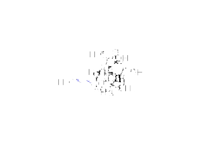 C/C=C/C=C/C(=O)O[C@@H]1[C@@H](C)[C@@]2(O)[C@@H](C=C(CO)C[C@]3(O)C(=O)C(C)=C[C@@H]23)[C@@H]2C(C)(C)[C@]12OC(C)=O